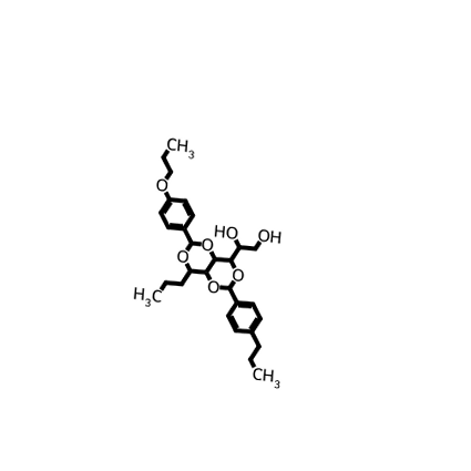 CCCOc1ccc(C2OC(CCC)C3OC(c4ccc(CCC)cc4)OC(C(O)CO)C3O2)cc1